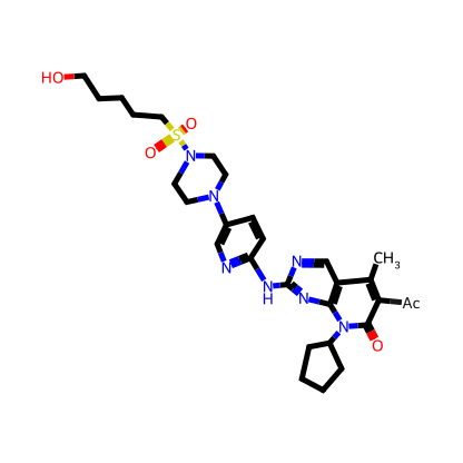 CC(=O)c1c(C)c2cnc(Nc3ccc(N4CCN(S(=O)(=O)CCCCCO)CC4)cn3)nc2n(C2CCCC2)c1=O